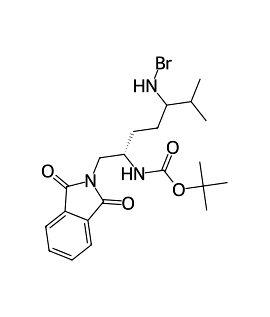 CC(C)C(CC[C@@H](CN1C(=O)c2ccccc2C1=O)NC(=O)OC(C)(C)C)NBr